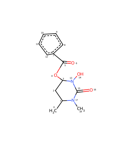 CC1CC(OC(=O)c2ccccc2)N(O)C(=O)N1C